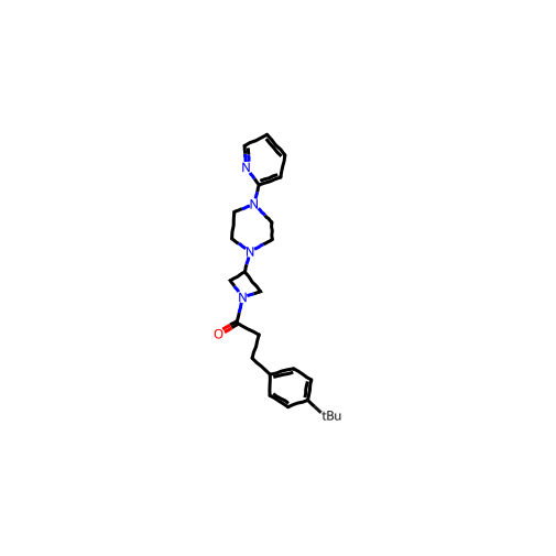 CC(C)(C)c1ccc(CCC(=O)N2CC(N3CCN(c4ccccn4)CC3)C2)cc1